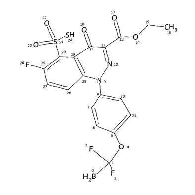 BC(F)(F)Oc1ccc(-n2nc(C(=O)OCC)c(=O)c3c(S(=O)(=O)S)c(F)ccc32)cc1